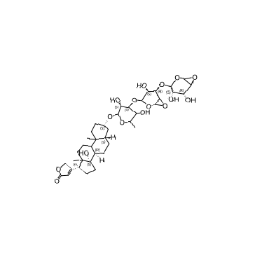 CC1OC(O[C@H]2CCC3(C)C4CCC5(C)[C@@H](C6=CC(=O)OC6)CC[C@]5(O)[C@@H]4CC[C@H]3C2)[C@@H](O)[C@@H](OC2OC3OC3[C@H](OC3OC4OC4[C@H](O)[C@@H]3O)[C@@H]2O)C1O